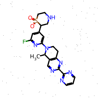 CC1c2cnc(-c3ncccn3)nc2CCN1c1cc(C2CNCCS2(=O)=O)cc(F)n1